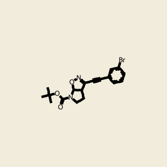 CC(C)(C)OC(=O)N1CCC2C(C#Cc3cccc(Br)c3)=NOC21